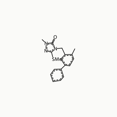 CSc1nn(C)c(=O)n1Cc1cc(-c2ccccc2)ccc1C